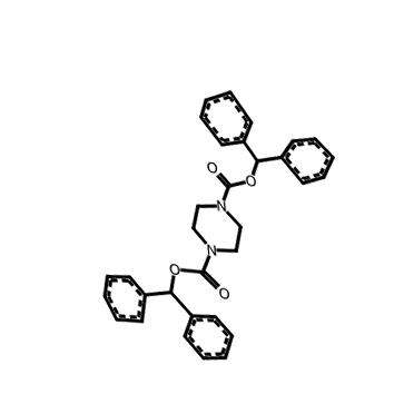 O=C(OC(c1ccccc1)c1ccccc1)N1CCN(C(=O)OC(c2ccccc2)c2ccccc2)CC1